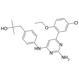 CCOc1ccc(Cl)cc1-c1cc(Nc2ccc(CC(C)(C)O)cc2)nc(N)n1